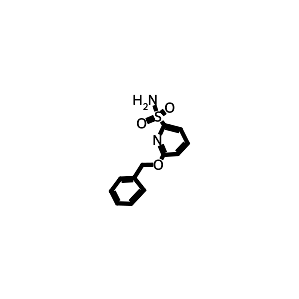 NS(=O)(=O)c1cccc(OCc2ccccc2)n1